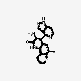 Cc1cc2c(-c3nccc4[nH]ncc34)c(N)c(=O)[nH]c2c2cccnc12